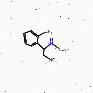 O=C(O)NC(C[N+](=O)[O-])c1ccccc1C(F)(F)F